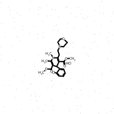 COC(=O)C1=C(C)N(C)C(CCN2CCOCC2)=C(C(=O)OC)C1c1ccccc1Cl.Cl